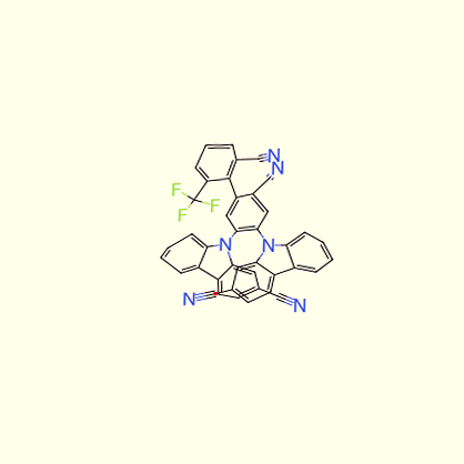 N#Cc1ccc2c3ccccc3n(-c3cc(C#N)c(-c4c(C#N)cccc4C(F)(F)F)cc3-n3c4ccccc4c4ccc(C#N)cc43)c2c1